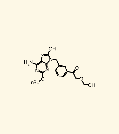 CCCCOc1nc(N)c2nc(O)n(Cc3cccc(C(=O)COCO)c3)c2n1